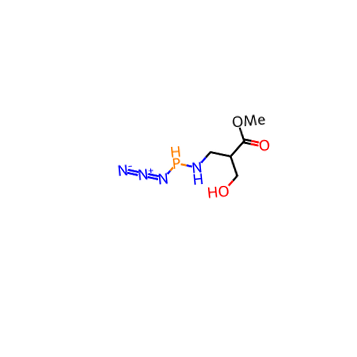 COC(=O)C(CO)CNPN=[N+]=[N-]